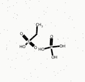 CCS(=O)(=O)O.O=P(O)(O)O